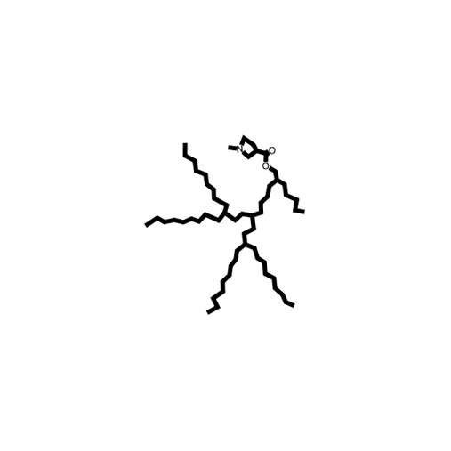 CCCCCCCCCC(CCCCCCCCC)CCC(CCCCC(CCCCC)COC(=O)C1CCN(C)C1)CCC(CCCCCCCCC)CCCCCCCCC